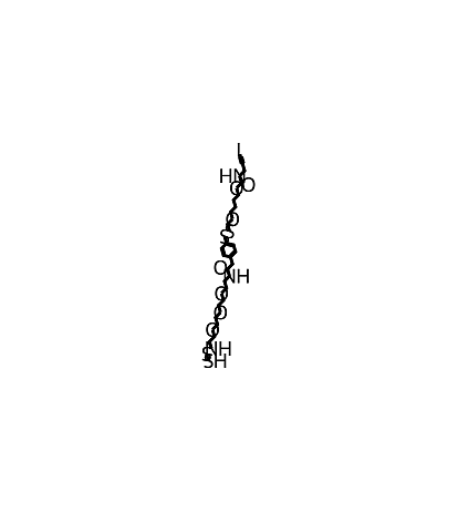 O=C(Cc1ccc(SSCOCCCCOC(=O)NCC#CI)cc1)NCCOCCOCCOCCNSS